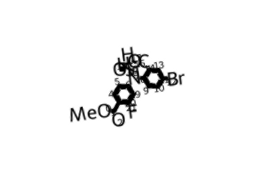 COC(=O)c1ccc(N(c2ccc(Br)cc2C)[SH](=O)=O)cc1F